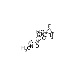 Cc1ccnc(C(=O)N2CCC3(CC2)O[C@@H]2CC[C@@H](C4(C)C=C(F)C=C(F)C4)N2C3=O)n1